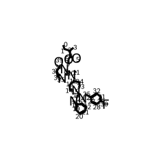 CCC(C)C(=O)OCn1c(N(C)C2CCN(c3nc4ccccc4n3Cc3ccc(F)cc3)CC2)nccc1=O